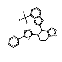 FC(F)(F)c1cccc2cc(C3c4nc[nH]c4CCN3c3nnc(-c4ccccn4)o3)nn12